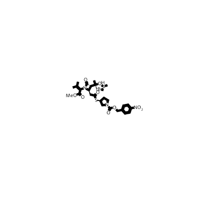 COC(=O)C(=C(C)C)N1C(=O)[C@H]([C@@](C)(O[SiH](C)C)C(C)(C)C)[C@H]1CC(=O)S[C@H]1CCN(C(=O)OCc2ccc([N+](=O)[O-])cc2)C1